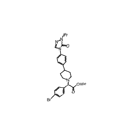 COC(=O)C(c1ccc(Br)cc1)N1CCC(c2ccc(-n3cnn(C(C)C)c3=O)cc2)CC1